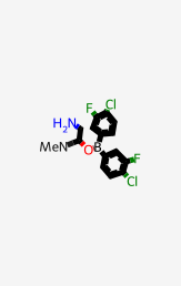 CNC(CN)OB(c1ccc(Cl)c(F)c1)c1ccc(Cl)c(F)c1